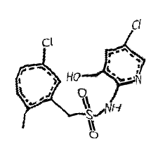 Cc1ccc(Cl)cc1CS(=O)(=O)Nc1ncc(Cl)cc1O